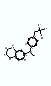 CN(c1ccc(CC(F)(F)F)cc1)c1ccc2c(c1)OCCC2